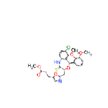 COC(=O)CCc1cnc(C[C@@H]2O[C@H](c3cccc(OC)c3OC)c3cc(Cl)ccc3NC2=S)o1